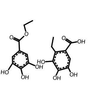 CCOC(=O)c1cc(O)c(O)c(O)c1.CCc1c(C(=O)O)cc(O)c(O)c1O